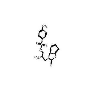 Cc1ccc(S(=O)(=O)OC[C@H](C)Cn2c(=O)sc3ccccc32)cc1